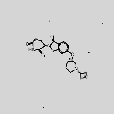 O=C1CCC(N2Cc3cc(O[C@@H]4CCCN(C5COC5)C4)ccc3C2=O)C(=O)N1